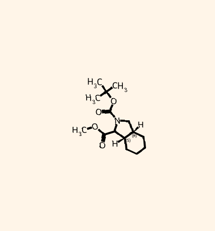 COC(=O)C1[C@H]2CCCC[C@H]2CN1C(=O)OC(C)(C)C